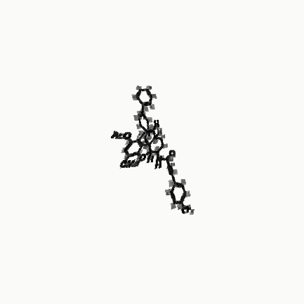 COc1cc(OC(C)=O)c2c3c1O[C@H]1[C@H](NC(=O)C#Cc4ccc(C(F)(F)F)cc4)CC[C@H]4[C@@H](C2)[N+](CCc2ccccc2)(CC(C)C)CC[C@@]341